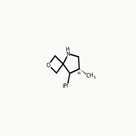 CC(C)C1[C@@H](C)CNC12COC2